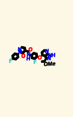 C=C(OC)c1n[nH]c2nccc(Oc3ccc(NC(=O)c4ccnn(-c5ccc(F)cc5)c4=O)cc3F)c12